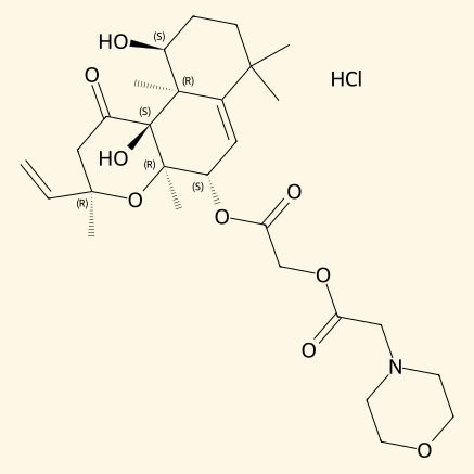 C=C[C@@]1(C)CC(=O)[C@@]2(O)[C@](C)(O1)[C@@H](OC(=O)COC(=O)CN1CCOCC1)C=C1C(C)(C)CC[C@H](O)[C@@]12C.Cl